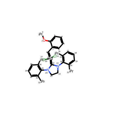 CC(C)Oc1ccccc1[CH]=[Ru]([Cl])([Cl])=[C]1N(c2c(C(C)C)cccc2C(C)C)CCN1c1c(C(C)C)cccc1C(C)C